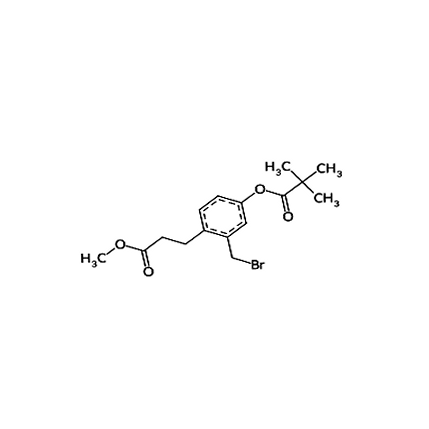 COC(=O)CCc1ccc(OC(=O)C(C)(C)C)cc1CBr